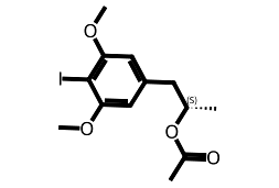 COc1cc(C[C@H](C)OC(C)=O)cc(OC)c1I